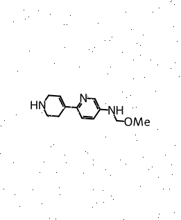 COCNc1ccc(C2=CCNCC2)nc1